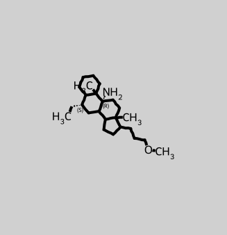 CC[C@H]1CC2C3CCC(CCCOC)C3(C)CC[C@]2(N)C2(C)CCCCC12